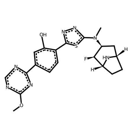 COc1ncnc(-c2ccc(-c3nnc(N(C)[C@H]4C[C@@H]5CC[C@@H](N5)[C@H]4F)s3)c(O)c2)n1